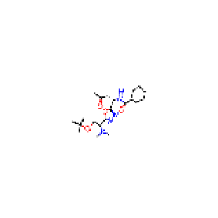 CC(=O)C[C@H](NC(=O)C1CCCCC1)c1nnc([C@H](COC(C)(C)C)N(C)C)o1